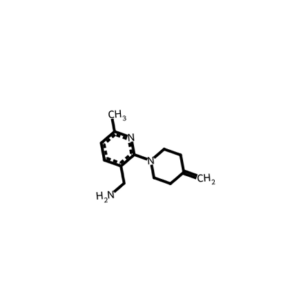 C=C1CCN(c2nc(C)ccc2CN)CC1